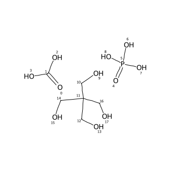 O=C(O)O.O=P(O)(O)O.OCC(CO)(CO)CO